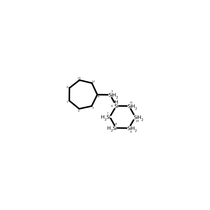 C1CCCC([SiH2][SiH]2[SiH2][SiH2][SiH2][SiH2][SiH2]2)CC1